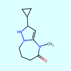 CN1C(=O)CCCN2NC(C3CC3)C=C21